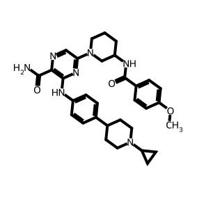 COc1ccc(C(=O)NC2CCCN(c3cnc(C(N)=O)c(Nc4ccc(C5CCN(C6CC6)CC5)cc4)n3)C2)cc1